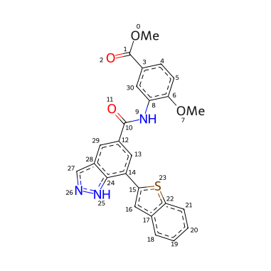 COC(=O)c1ccc(OC)c(NC(=O)c2cc(-c3cc4ccccc4s3)c3[nH]ncc3c2)c1